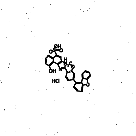 COc1cc(-c2cccc3oc4ccccc4c23)ccc1-c1nc2c(cc(S(=O)(=O)O)c3cccc(O)c32)[nH]1.Cl